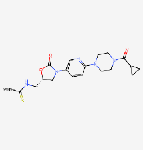 CNC(=S)NC[C@H]1CN(c2ccc(N3CCN(C(=O)C4CC4)CC3)nc2)C(=O)O1